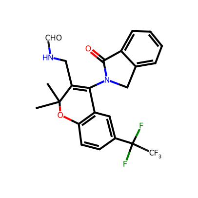 CC1(C)Oc2ccc(C(F)(F)C(F)(F)F)cc2C(N2Cc3ccccc3C2=O)=C1CNC=O